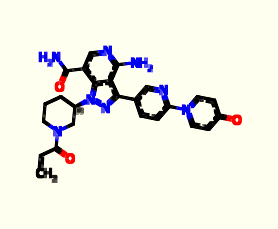 C=CC(=O)N1CCC[C@@H](n2nc(-c3ccc(-n4ccc(=O)cc4)nc3)c3c(N)ncc(C(N)=O)c32)C1